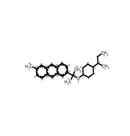 CCC(C)C1CCC(OC(C)(C)c2ccc3cc4cc(C)ccc4cc3c2)CC1